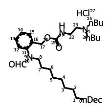 CCCCCCCCCCCCCCCCCCN(C=O)c1ccccc1COC(=O)NCCN(CCCC)CCCC.Cl